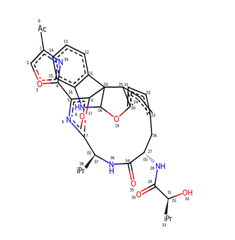 CC(=O)c1coc(-c2nc3oc2C24c5ccccc5NC2Oc2ccc(cc24)C[C@H](NC(=O)[C@@H](O)C(C)C)C(=O)N[C@H]3C(C)C)n1